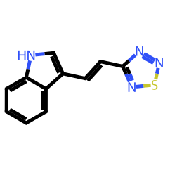 C(=Cc1c[nH]c2ccccc12)c1nnsn1